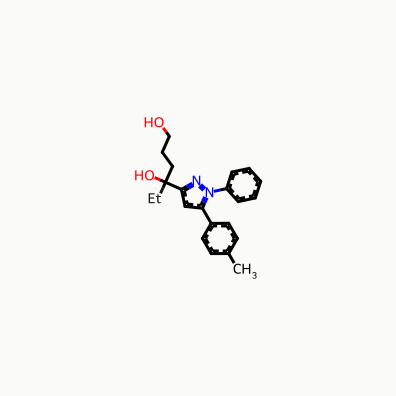 CCC(O)(CCCO)c1cc(-c2ccc(C)cc2)n(-c2ccccc2)n1